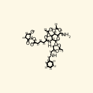 CC(=O)OC(CNCc1ccccc1)COC1OC(CN)C(OC(C)=O)C(OC(C)=O)C1NC(=O)CCCC(=O)ON1C(=O)CCC1=O